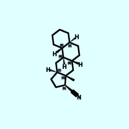 C[C@]12C[C@H]3CC[C@@H]4CCCC[C@H]4[C@@H]3C[C@@H]1CC[C@@H]2C#N